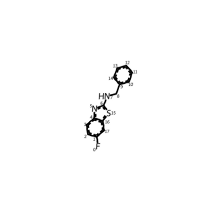 Fc1ccc2nc(NCc3ccccc3)sc2c1